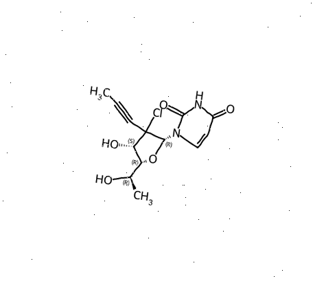 CC#CC1(Cl)[C@@H](O)[C@@H]([C@@H](C)O)O[C@H]1n1ccc(=O)[nH]c1=O